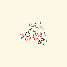 CCN(CC)C(=O)/C(C#N)=C/c1cc(OC(=O)OC(C(=O)OC)C(C)C)c(O)c([N+](=O)[O-])c1